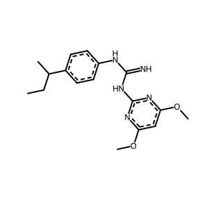 CCC(C)c1ccc(NC(=N)Nc2nc(OC)cc(OC)n2)cc1